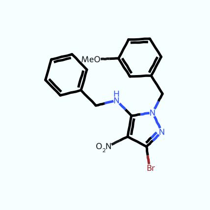 COc1cccc(Cn2nc(Br)c([N+](=O)[O-])c2NCc2ccccc2)c1